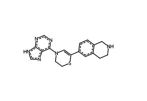 C1=C(c2ccc3c(c2)CCNC3)SCCN1c1ncnc2[nH]cnc12